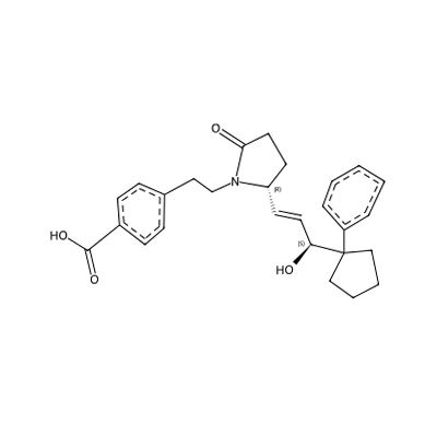 O=C(O)c1ccc(CCN2C(=O)CC[C@@H]2C=C[C@H](O)C2(c3ccccc3)CCCC2)cc1